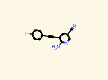 N#Cc1cnc(N)c(C#Cc2ccc(F)cc2)c1